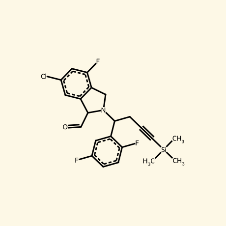 C[Si](C)(C)C#CCC(c1cc(F)ccc1F)N1Cc2c(F)cc(Cl)cc2C1C=O